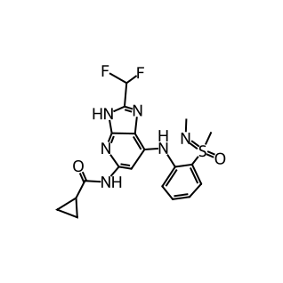 CN=S(C)(=O)c1ccccc1Nc1cc(NC(=O)C2CC2)nc2[nH]c(C(F)F)nc12